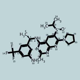 Cc1nc(N[C@H](C)c2cc(N)cc(C(F)(F)F)c2)c2cc([S+]([O-])C(C)C)c(N3CCCC3)nc2n1